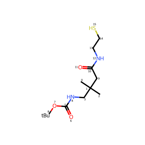 CC(C)(CNC(=O)OC(C)(C)C)CC(=O)NCCS